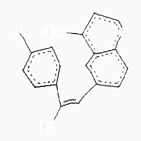 CC(=Cc1ccc2nccc(C(=O)O)c2c1)c1ccc(Cl)cc1